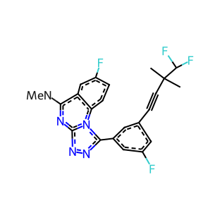 CNc1nc2nnc(-c3cc(F)cc(C#CC(C)(C)C(F)F)c3)n2c2ccc(F)cc12